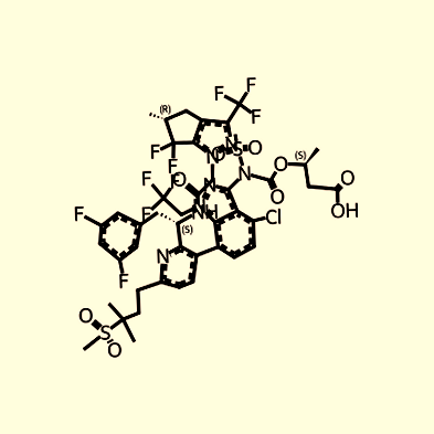 C[C@@H]1Cc2c(C(F)(F)F)nn(CC(=O)N[C@@H](Cc3cc(F)cc(F)c3)c3nc(CCC(C)(C)S(C)(=O)=O)ccc3-c3ccc(Cl)c4c(N(C(=O)O[C@@H](C)CC(=O)O)S(C)(=O)=O)nn(CC(F)(F)F)c34)c2C1(F)F